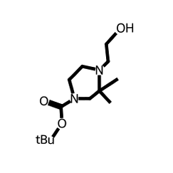 CC(C)(C)OC(=O)N1CCN(CCO)C(C)(C)C1